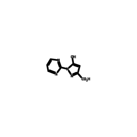 O=C(O)c1cc(O)n(-c2ncccn2)n1